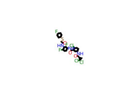 O=C(CSc1ccc(F)cc1)Nc1c(F)ccc(NC(=O)c2cc(NC(=O)C3CC3(Cl)Cl)ccc2Cl)c1F